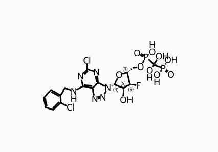 O=P(O)(O)C(O)(O)P(=O)(O)OC[C@H]1O[C@@H](n2nnc3c(NCc4ccccc4Cl)nc(Cl)nc32)[C@H](O)[C@@H]1F